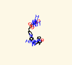 Cc1cc(=O)n(C2CCCC2)c2nc(Nc3ccc(N4CCC(CCCS(=O)(=O)c5n[nH]c(=O)[nH]5)CC4)cc3)ncc12